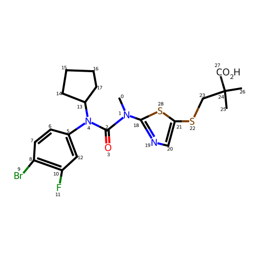 CN(C(=O)N(c1ccc(Br)c(F)c1)C1CCCC1)c1ncc(SCC(C)(C)C(=O)O)s1